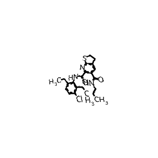 CCCNC(=O)c1cc2c(nc1C(=O)Nc1c(CC)ccc(Cl)c1CC)SCC2